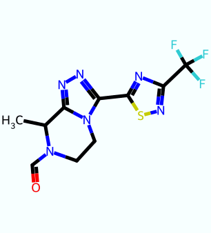 CC1c2nnc(-c3nc(C(F)(F)F)ns3)n2CCN1C=O